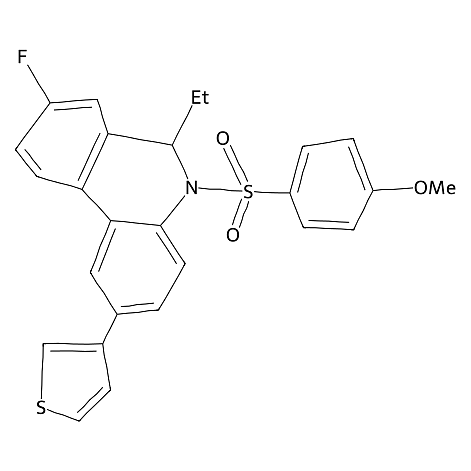 CCC1c2cc(F)ccc2-c2cc(-c3ccsc3)ccc2N1S(=O)(=O)c1ccc(OC)cc1